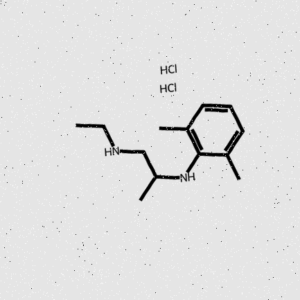 CCNCC(C)Nc1c(C)cccc1C.Cl.Cl